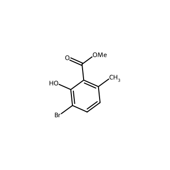 COC(=O)c1c(C)ccc(Br)c1O